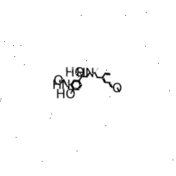 C=C/C(=C\C=C\OC)C[C@@H](C)NC[C@H](O)c1ccc(O)c(NC=O)c1